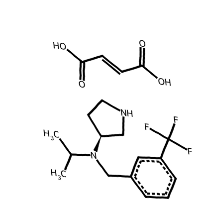 CC(C)N(Cc1cccc(C(F)(F)F)c1)[C@H]1CCNC1.O=C(O)/C=C/C(=O)O